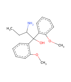 CCC(N)C(O)(c1ccccc1OC)c1ccccc1OC